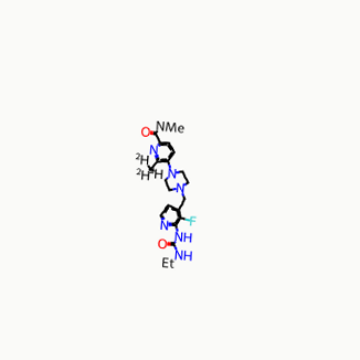 [2H]C([2H])([2H])c1nc(C(=O)NC)ccc1N1CCN(Cc2ccnc(NC(=O)NCC)c2F)CC1